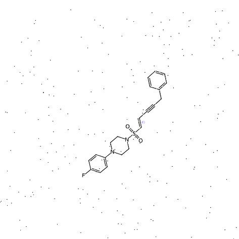 O=S(=O)(/C=C/C#CCc1ccccc1)N1CCN(c2ccc(F)cc2)CC1